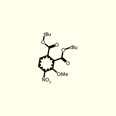 COc1c([N+](=O)[O-])ccc(C(=O)OC(C)(C)C)c1C(=O)OC(C)(C)C